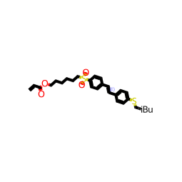 C=CC(=O)OCCCCCCS(=O)(=O)c1ccc(/C=C/c2ccc(SCC(C)CC)cc2)cc1